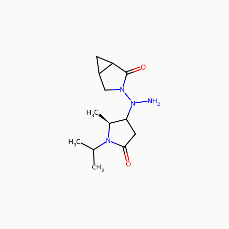 CC(C)N1C(=O)CC(N(N)N2CC3CC3C2=O)[C@@H]1C